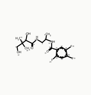 CC(CNC(=O)C(O)C(C)(C)CO)NC(=O)c1cc(F)c(F)cc1F